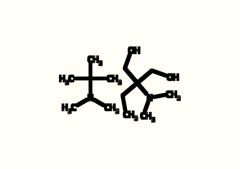 CCC(CO)(CO)N(C)C.CN(C)C(C)(C)C